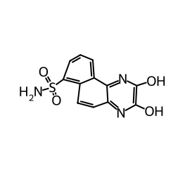 NS(=O)(=O)c1cccc2c1ccc1nc(O)c(O)nc12